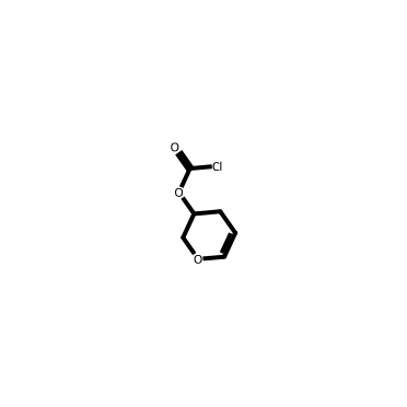 O=C(Cl)OC1CC=COC1